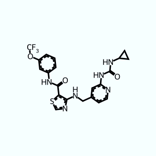 O=C(Nc1cc(CNc2ncsc2C(=O)Nc2cccc(OC(F)(F)F)c2)ccn1)NC1CC1